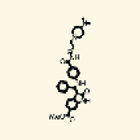 COC(=O)c1ccc2c(c1)NC(=O)/C2=C(\Nc1ccc(C(=O)NOCCN2CCC(N(C)C)CC2)cc1)c1ccccc1